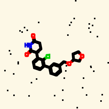 O=C1CCC(c2cccc(-c3cccc(COC4CCOC4)c3)c2Cl)C(=O)N1